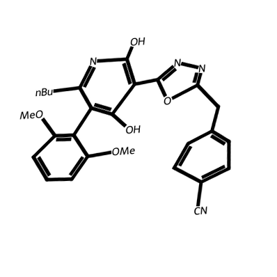 CCCCc1nc(O)c(-c2nnc(Cc3ccc(C#N)cc3)o2)c(O)c1-c1c(OC)cccc1OC